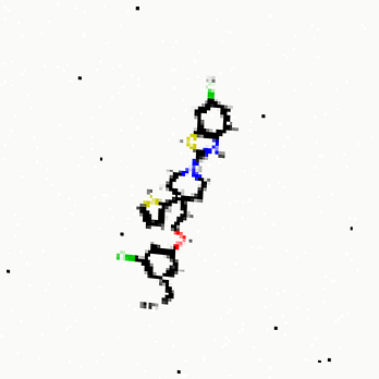 O=C(O)Cc1cc(Cl)cc(OCCC2(c3cccs3)CCN(c3nc4ccc(Cl)cc4s3)CC2)c1